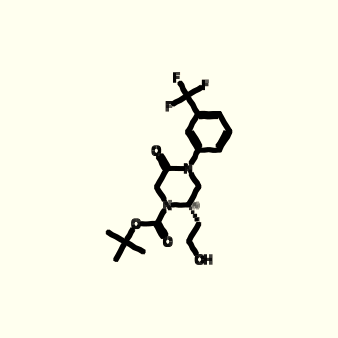 CC(C)(C)OC(=O)N1CC(=O)N(c2cccc(C(F)(F)F)c2)C[C@@H]1CCO